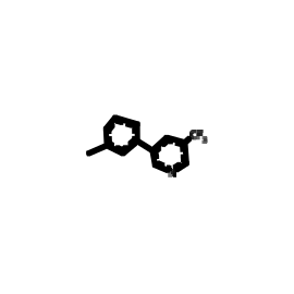 Cc1cccc(-c2cncc(C(F)(F)F)c2)c1